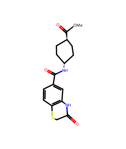 COC(=O)[C@H]1CC[C@H](NC(=O)c2ccc3c(c2)NC(=O)CS3)CC1